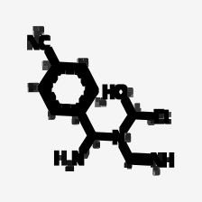 CCC(O)N(C=N)C(N)c1ccc(C#N)cc1